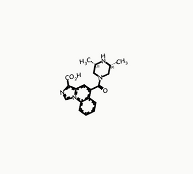 C[C@@H]1CN(C(=O)c2cc3c(C(=O)O)ncn3c3ccccc23)C[C@H](C)N1